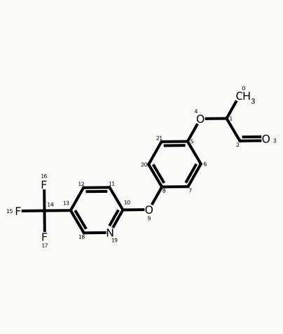 CC(C=O)Oc1ccc(Oc2ccc(C(F)(F)F)cn2)cc1